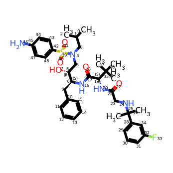 CC(C)CN(C[C@@H](O)[C@H](Cc1ccccc1)NC(=O)[C@@H](NC(=O)CNC(C)(C)c1cccc(F)c1)C(C)(C)C)S(=O)(=O)c1ccc(N)cc1